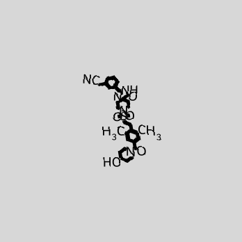 Cc1cc(C(=O)N2CCC(O)CC2)cc(C)c1/C=C/S(=O)(=O)N1CCC2(CC1)N=C(c1cccc(CC#N)c1)NC2=O